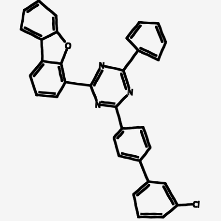 Clc1cccc(-c2ccc(-c3nc(-c4ccccc4)nc(-c4cccc5c4oc4ccccc45)n3)cc2)c1